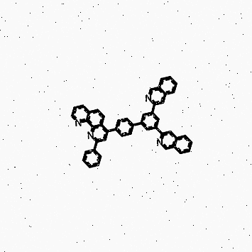 c1ccc(-c2cc(-c3ccc(-c4cc(-c5cc6ccccc6cn5)cc(-c5cc6ccccc6cn5)c4)cc3)c3ccc4cccnc4c3n2)cc1